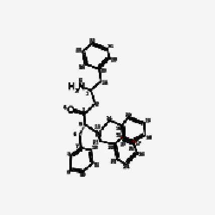 NC(CC(=O)[C@@H](Cc1ccccc1)N(Cc1ccccc1)Cc1ccccc1)Cc1ccccc1